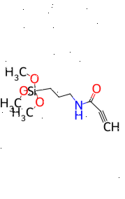 C#CC(=O)NCCC[Si](OC)(OC)OC